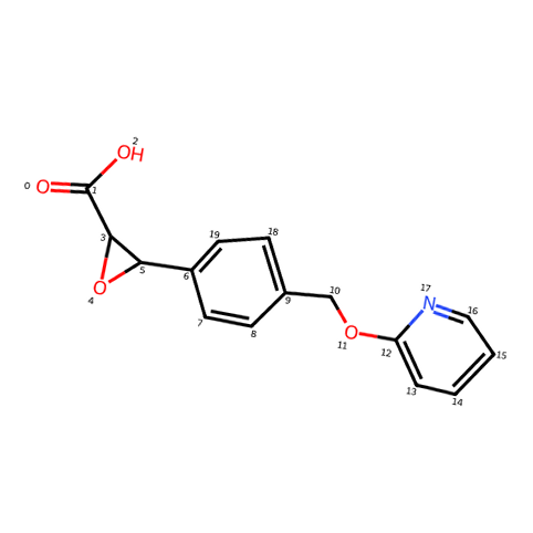 O=C(O)C1OC1c1ccc(COc2ccccn2)cc1